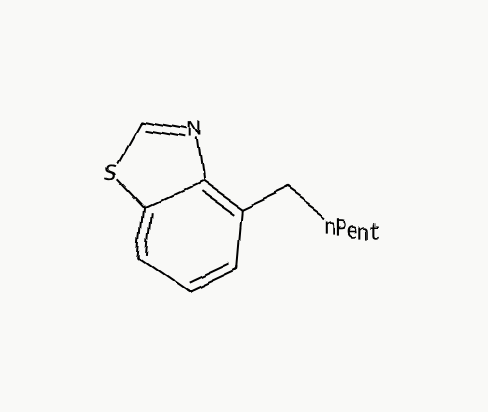 [CH2]CCCCCc1cccc2scnc12